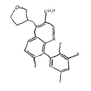 O=C(O)c1cnc2c(-c3cc(F)cc(F)c3F)c(F)ccc2c1C1CCOC1